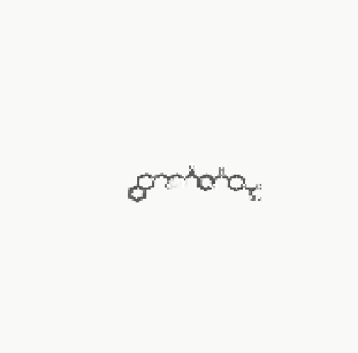 CC(C)(C)C(=O)N1CCC(Nc2cc(C(=O)NC[C@H](O)CN3CCc4ccccc4C3)ccn2)CC1